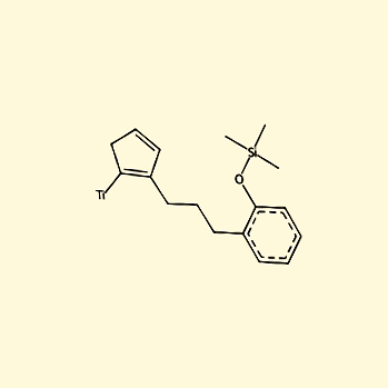 C[Si](C)(C)Oc1ccccc1CCCC1=[C]([Ti])CC=C1